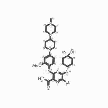 CCc1nc(C(N)=O)c(Nc2ccc(N3CCC(N4CCN(C)CC4)CC3)cc2OC)nc1N[C@H]1CC[C@](C)(O)CC1